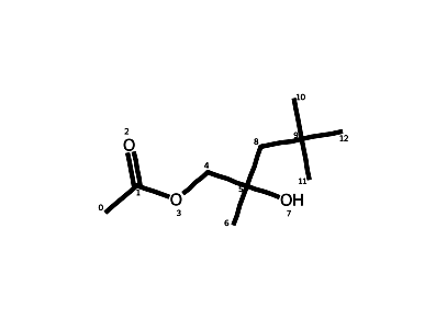 CC(=O)OCC(C)(O)CC(C)(C)C